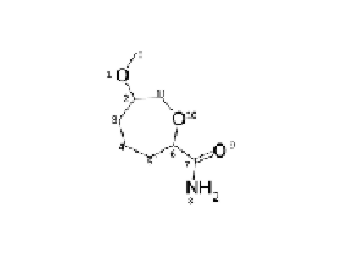 COC1CC[CH]C(C(N)=O)OC1